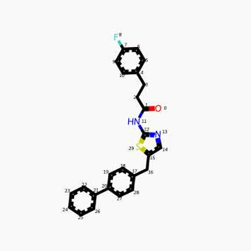 O=C(CCc1ccc(F)cc1)Nc1ncc(Cc2ccc(-c3ccccc3)cc2)s1